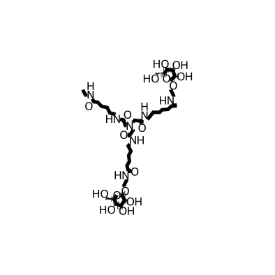 C=C(CCCCCNC(=O)CN(CC(=O)NCCCCCC(=O)NCC)CC(=O)NCCCCCC(=O)NCCO[C@H]1O[C@H](CO)[C@@H](O)[C@H](O)[C@@H]1O)NCCO[C@H]1O[C@H](CO)[C@@H](O)[C@H](O)[C@@H]1O